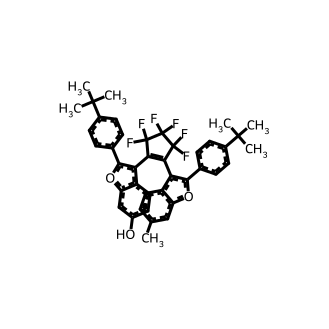 Cc1ccc2c(C3=C(c4c(-c5ccc(C(C)(C)C)cc5)oc5cc(O)ccc45)C(F)(F)C(F)(F)C3(F)F)c(-c3ccc(C(C)(C)C)cc3)oc2c1